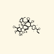 C=CC(=O)N1[C@H](C)CN(c2c(C#N)c(=O)n(-c3c(C)ccnc3C(C)C)c3nc(-c4c(F)c(Cl)c(F)c(O)c4Cl)c(Cl)cc23)C[C@@H]1C